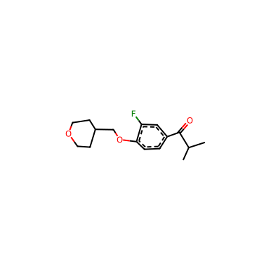 CC(C)C(=O)c1ccc(OCC2CCOCC2)c(F)c1